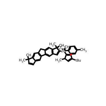 [CH2]=[Zr]([CH3])([C]1=CC(C(C)(C)C)=CC1C)([C]1=Cc2cc3c(cc2C1(C)C)Cc1cc2c(cc1-3)C=CC2(C)C)[c]1ccc(C)cc1